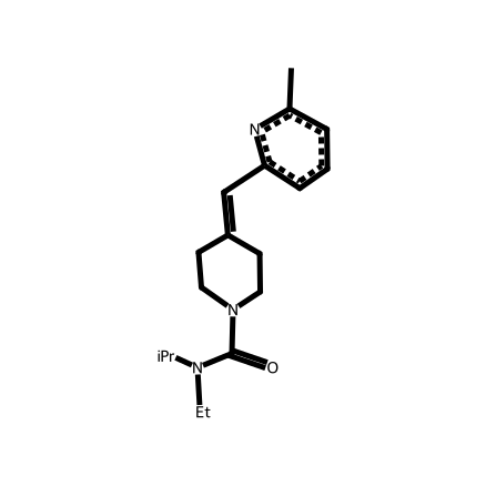 CCN(C(=O)N1CCC(=Cc2cccc(C)n2)CC1)C(C)C